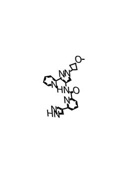 COC1CC(n2cc(NC(=O)c3cccc(-c4cn[nH]c4)n3)c(-c3ccccn3)n2)C1